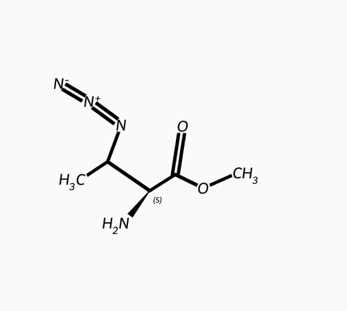 COC(=O)[C@@H](N)C(C)N=[N+]=[N-]